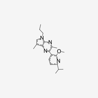 CCCn1cc(C)c2nc(-c3ccc(C(C)C)nc3OC)c(C)nc21